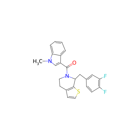 Cn1cc(C(=O)N2CCc3ccsc3C2Cc2ccc(F)c(F)c2)c2ccccc21